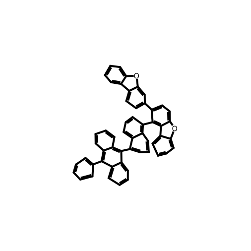 c1ccc(-c2c3ccccc3c(-c3cccc4c(-c5c(-c6ccc7c(c6)oc6ccccc67)ccc6oc7ccccc7c56)cccc34)c3ccccc23)cc1